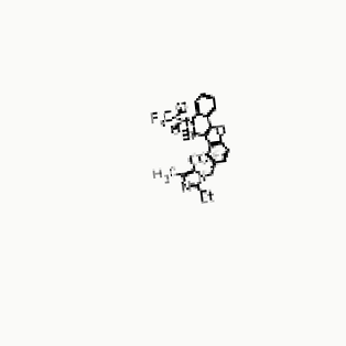 CCOC(=O)c1c(C)nc(CC)n1Cc1ccc2oc(-c3ccccc3NS(=O)(=O)C(F)(F)F)c(Br)c2c1